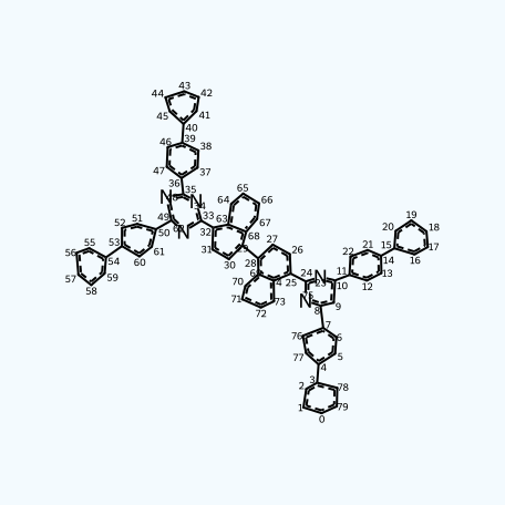 c1ccc(-c2ccc(-c3cc(-c4ccc(-c5ccccc5)cc4)nc(-c4ccc(-c5ccc(-c6nc(-c7ccc(-c8ccccc8)cc7)nc(-c7ccc(-c8ccccc8)cc7)n6)c6ccccc56)c5ccccc45)n3)cc2)cc1